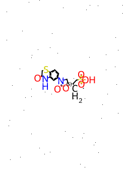 [CH2]C(CS(=O)(=O)O)[C@H]1CN(c2ccc3c(c2)NC(=O)CS3)C(=O)O1